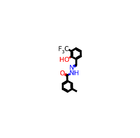 Cc1cccc(C(=O)N/N=C/c2cccc(C(F)(F)F)c2O)c1